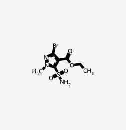 CCOC(=O)c1c(Br)nn(C)c1S(N)(=O)=O